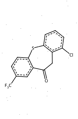 O=C1Cc2c(Cl)cccc2Sc2ccc(C(F)(F)F)cc21